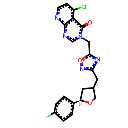 O=c1c2c(Cl)ccnc2ncn1Cc1nc(CC2CO[C@@H](c3ccc(F)cc3)C2)no1